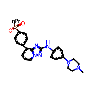 CCCS(=O)(=O)c1ccc(-c2cccn3nc(Nc4ccc(N5CCN(C)CC5)cc4)nc23)cc1